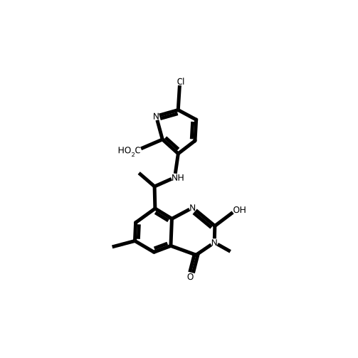 Cc1cc(C(C)Nc2ccc(Cl)nc2C(=O)O)c2nc(O)n(C)c(=O)c2c1